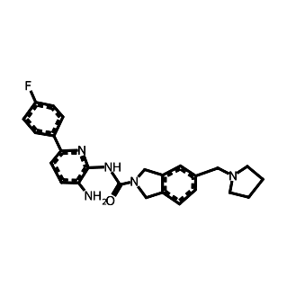 Nc1ccc(-c2ccc(F)cc2)nc1NC(=O)N1Cc2ccc(CN3CCCC3)cc2C1